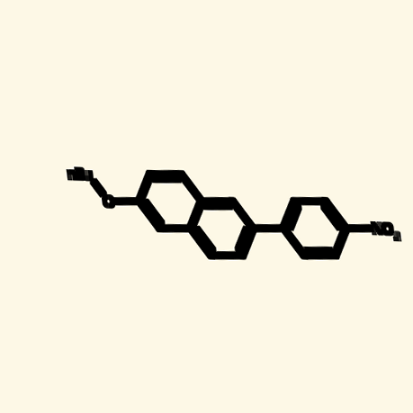 CCCCOc1ccc2cc(-c3ccc([N+](=O)[O-])cc3)ccc2c1